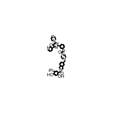 CC(C)c1cc(C(=O)N2Cc3ccc(CN4CCN(C(=O)Oc5cccc(-c6nc(N7CCOCC7)c7oc8ncccc8c7n6)c5)CC4)cc3C2)c(O)cc1O